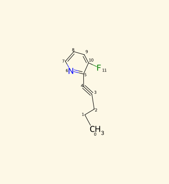 CCCC#Cc1ncccc1F